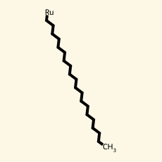 CCCCCCCCCCCCCCCCCCC[CH2][Ru]